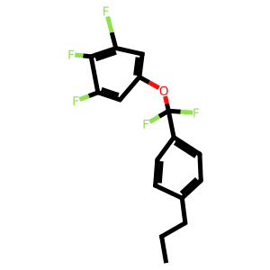 CCCc1ccc(C(F)(F)Oc2cc(F)c(F)c(F)c2)cc1